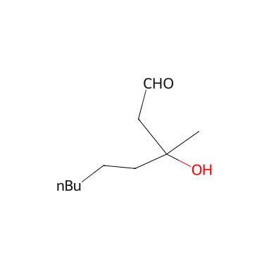 CCCCCCC(C)(O)CC=O